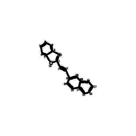 C(#Cc1nc2ccccc2o1)c1ccc2ccccc2c1